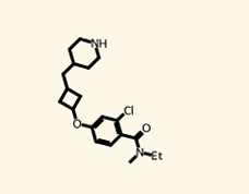 CCN(C)C(=O)c1ccc(OC2CC(CC3CCNCC3)C2)cc1Cl